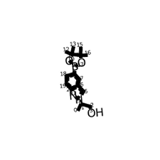 CC(CO)n1cc2cc(B3OC(C)(C)C(C)(C)O3)ccc2n1